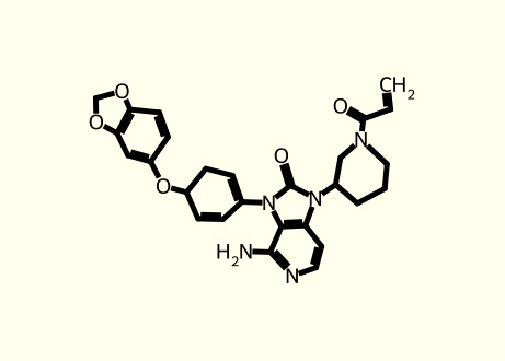 C=CC(=O)N1CCCC(n2c(=O)n(C3=CCC(Oc4ccc5c(c4)OCO5)C=C3)c3c(N)nccc32)C1